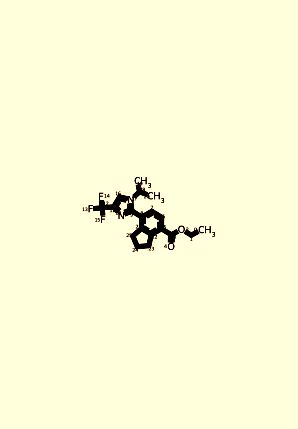 CCOC(=O)c1ccc(-c2nc(C(F)(F)F)cn2C(C)C)c2c1CCC2